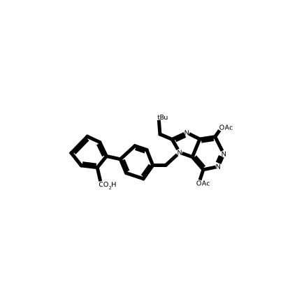 CC(=O)Oc1nnc(OC(C)=O)c2c1nc(CC(C)(C)C)n2Cc1ccc(-c2ccccc2C(=O)O)cc1